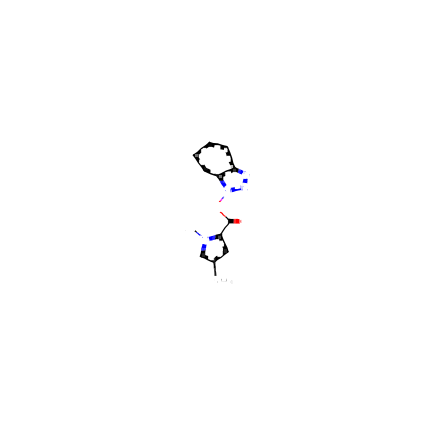 CNc1cc(C(=O)On2nnc3ccccc32)n(C)c1